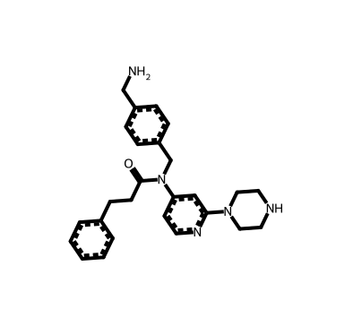 NCc1ccc(CN(C(=O)CCc2ccccc2)c2ccnc(N3CCNCC3)c2)cc1